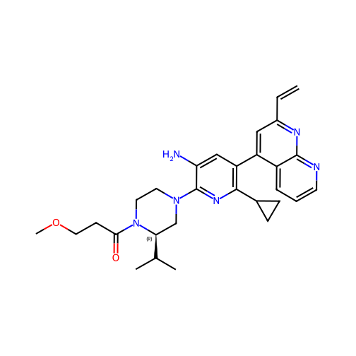 C=Cc1cc(-c2cc(N)c(N3CCN(C(=O)CCOC)[C@H](C(C)C)C3)nc2C2CC2)c2cccnc2n1